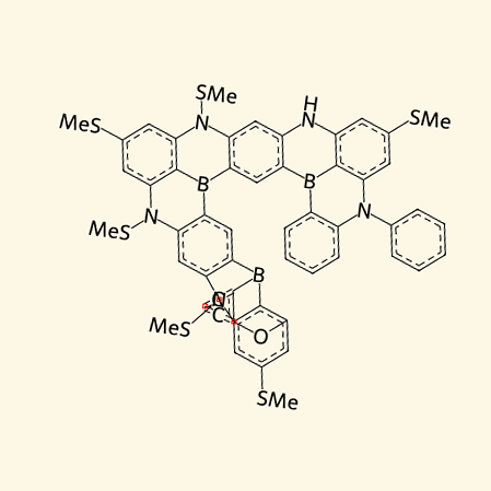 CSc1cc2c3c(c1)N(SC)c1cc4c(cc1B3c1ccccc1O2)B1c2cc3c(cc2N(SC)c2cc(SC)cc(c21)N4SC)Nc1cc(SC)cc2c1B3c1ccccc1N2c1ccccc1